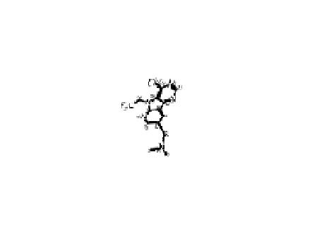 CN(C)Cc1cnc2c(c1)c1ncnc(Cl)c1n2CC(F)(F)F